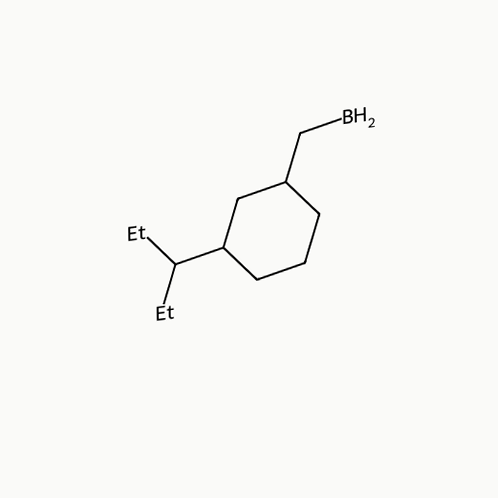 BCC1CCCC(C(CC)CC)C1